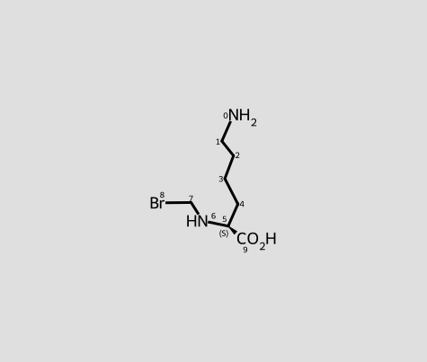 NCCCC[C@H](NCBr)C(=O)O